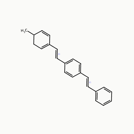 CC1C=CC(/C=C/c2ccc(/C=C/c3ccccc3)cc2)=CC1